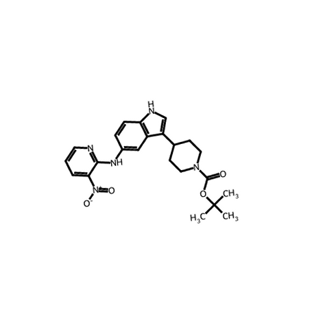 CC(C)(C)OC(=O)N1CCC(c2c[nH]c3ccc(Nc4ncccc4[N+](=O)[O-])cc23)CC1